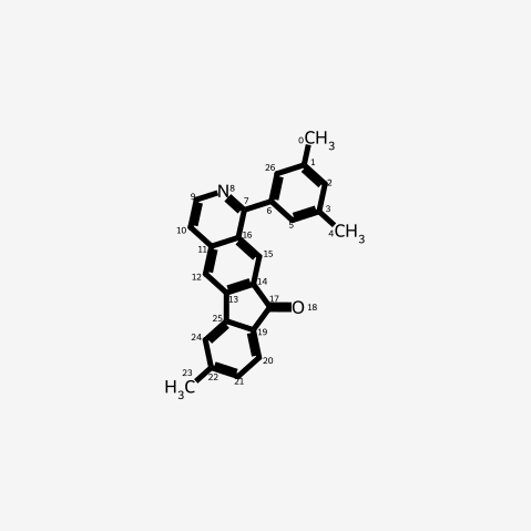 Cc1cc(C)cc(-c2nccc3cc4c(cc23)C(=O)c2ccc(C)cc2-4)c1